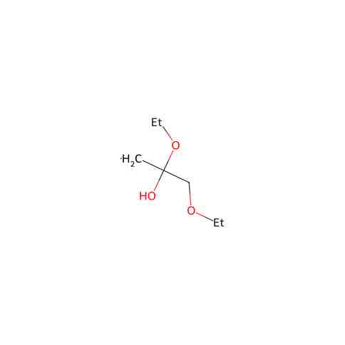 [CH2]C(O)(COCC)OCC